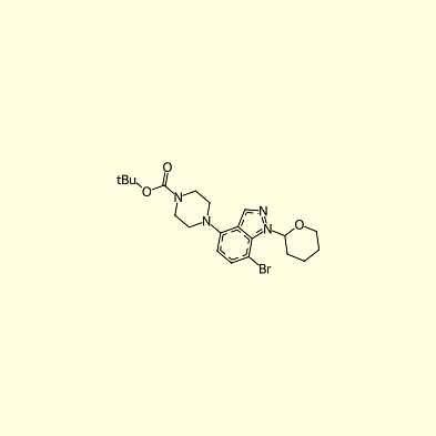 CC(C)(C)OC(=O)N1CCN(c2ccc(Br)c3c2cnn3C2CCCCO2)CC1